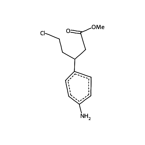 COC(=O)CC(CCCl)c1ccc(N)cc1